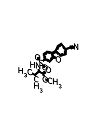 COC(=O)C(NS(=O)(=O)c1ccc2c(c1)oc1cc(C#N)ccc12)C(C)C